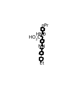 CCCc1ccc(C(=O)N[C@@H](Cc2ccc(-c3ncc(-c4ccc([C@H]5CC[C@H](CC)CC5)cc4)cn3)cc2)C(=O)O)cc1